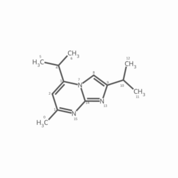 Cc1cc(C(C)C)n2cc(C(C)C)nc2n1